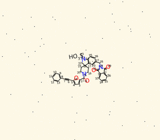 O=C(c1ccc(C#Cc2ccccc2)o1)N1CCC2(CC1)CN(S(=O)(=O)O)c1ccc(CN3C(=O)c4ccccc4C3=O)cc12